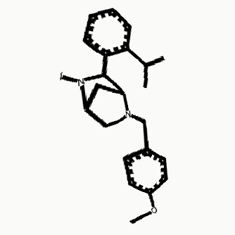 COc1ccc(CN2CC3CC2C(c2ccccc2C(C)C)N3I)cc1